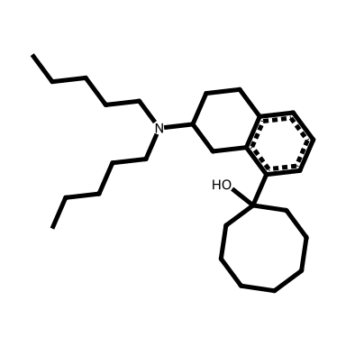 CCCCCN(CCCCC)C1CCc2cccc(C3(O)CCCCCCC3)c2C1